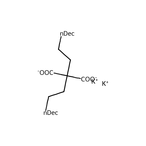 CCCCCCCCCCCCC(CCCCCCCCCCCC)(C(=O)[O-])C(=O)[O-].[K+].[K+]